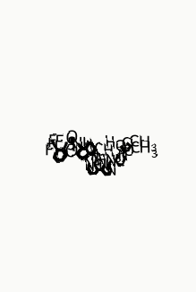 Cc1ccc2c(NS(=O)(=O)Cc3ccccc3C(F)(F)F)cccc2c1Oc1ncccc1-c1ccnc(NC2CCCN(C(=O)OC(C)(C)C)C2)n1